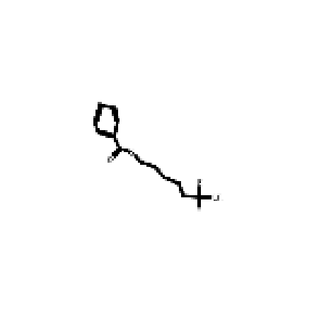 O=C(SCCCCCC(F)(F)C(F)(F)F)c1ccccc1